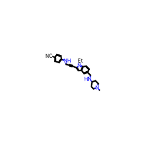 CCn1c(C#CCNc2ccc(C#N)cc2)cc2cc(CNC3CCN(C)CC3)ccc21